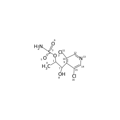 CC(OS(N)(=O)=O)C(O)c1c(Cl)cncc1Cl